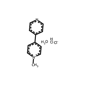 C[n+]1ccc(-c2ccncc2)cc1.Cl.O.[Cl-]